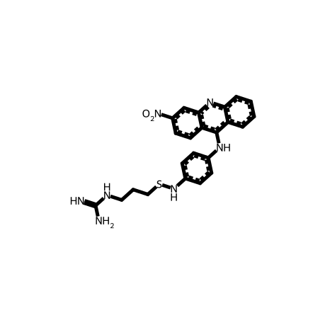 N=C(N)NCCCSNc1ccc(Nc2c3ccccc3nc3cc([N+](=O)[O-])ccc23)cc1